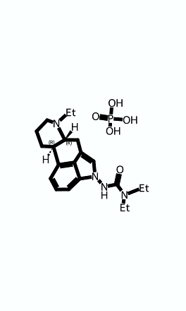 CCN(CC)C(=O)Nn1cc2c3c(cccc31)[C@H]1CCCN(CC)[C@@H]1C2.O=P(O)(O)O